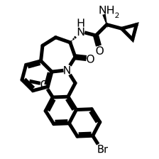 COc1ccc2cc(Br)ccc2c1CN1C(=O)[C@@H](NC(=O)[C@@H](N)C2CC2)CCc2ccccc21